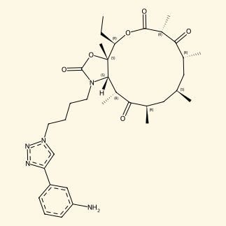 CC[C@H]1OC(=O)[C@H](C)C(=O)[C@H](C)C[C@@H](C)C[C@@H](C)C(=O)[C@H](C)[C@@H]2N(CCCCn3cc(-c4cccc(N)c4)nn3)C(=O)O[C@@]21C